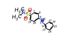 CN(C)S(=O)(=O)c1ccc(/N=N/c2ccccc2)cc1